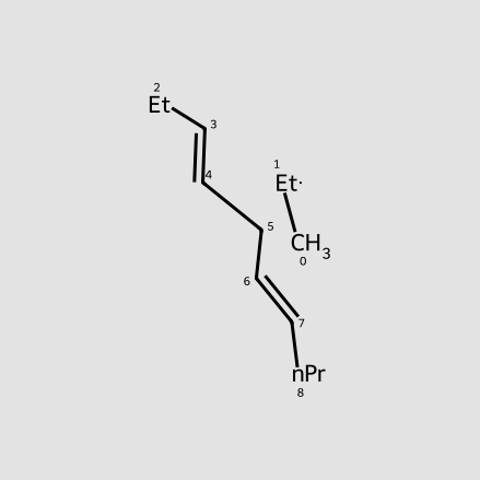 C[CH]C.[CH2]CC=CCC=CCCC